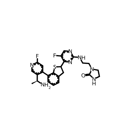 C[C@H](N)c1cnc(F)cc1-c1cccc2c1SC(c1nc(NCCN3CCNC3=O)ncc1F)C2